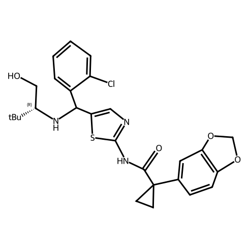 CC(C)(C)[C@H](CO)NC(c1cnc(NC(=O)C2(c3ccc4c(c3)OCO4)CC2)s1)c1ccccc1Cl